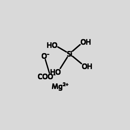 O=C([O-])[O-].O[Si](O)(O)O.[Mg+2]